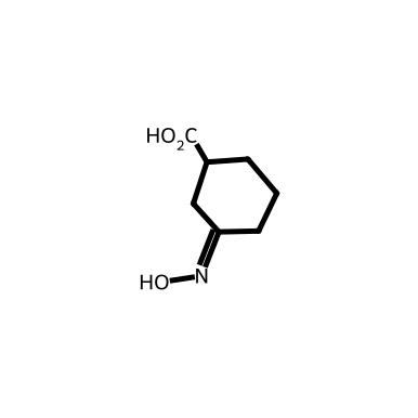 O=C(O)C1CCCC(=NO)C1